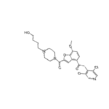 COc1ccc(C(=O)Cc2c(Cl)cncc2Cl)c2cc(C(=O)N3CCN(CCCCO)CC3)oc12